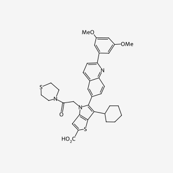 COc1cc(OC)cc(-c2ccc3cc(-c4c(C5CCCCC5)c5sc(C(=O)O)cc5n4CC(=O)N4CCSCC4)ccc3n2)c1